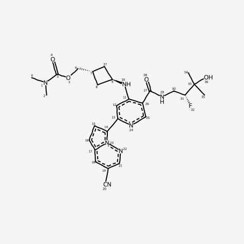 CN(C)C(=O)OC[C@H]1C[C@H](Nc2cc(-c3ccc4cc(C#N)cnn34)ncc2C(=O)NC[C@@H](F)C(C)(C)O)C1